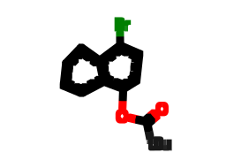 CC(C)(C)C(=O)Oc1ccc(Br)c2ccccc12